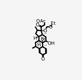 CCOCO[C@]1(C(=O)COC(C)=O)C(C)C[C@H]2[C@@H]3CC(C)C4=CC(=O)C=C[C@]4(C)[C@@]3(Br)C(O)C[C@@]21C